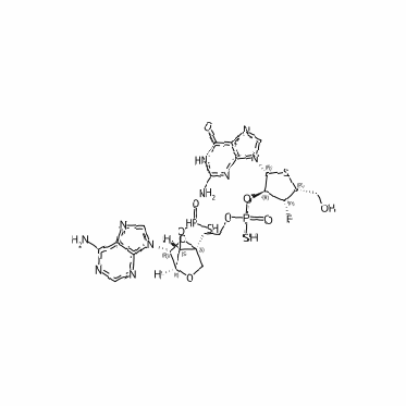 Nc1nc2c(ncn2[C@@H]2S[C@H](CO)[C@H](F)[C@H]2OP(=O)(S)OCC[C@@]23CO[C@@H]([C@H](n4cnc5c(N)ncnc54)O2)[C@@H]3O[PH](=O)S)c(=O)[nH]1